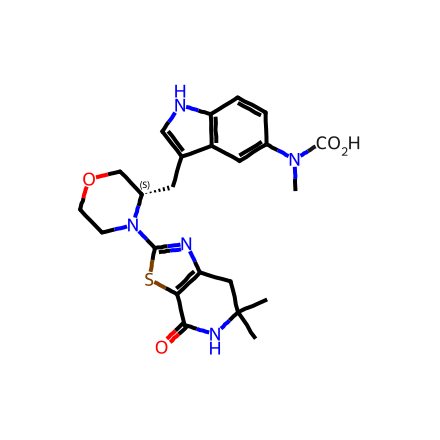 CN(C(=O)O)c1ccc2[nH]cc(C[C@H]3COCCN3c3nc4c(s3)C(=O)NC(C)(C)C4)c2c1